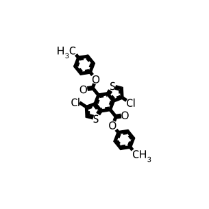 Cc1ccc(OC(=O)c2c3scc(Cl)c3c(C(=O)Oc3ccc(C)cc3)c3scc(Cl)c23)cc1